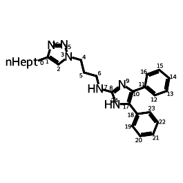 CCCCCCCc1cn(CCCNc2nc(-c3ccccc3)c(-c3ccccc3)[nH]2)nn1